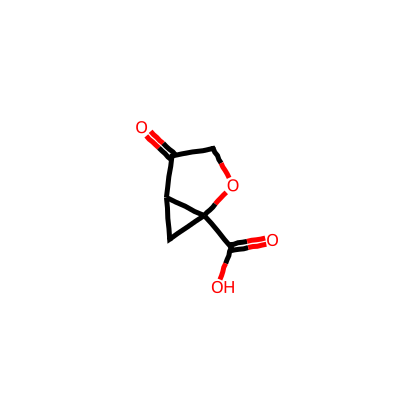 O=C1COC2(C(=O)O)CC12